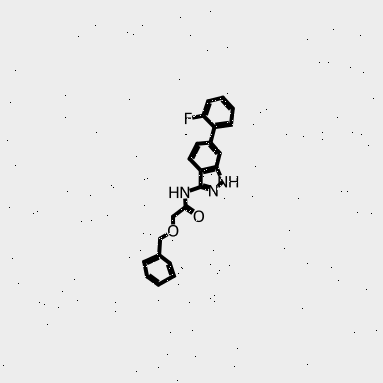 O=C(COCc1ccccc1)Nc1n[nH]c2cc(-c3ccccc3F)ccc12